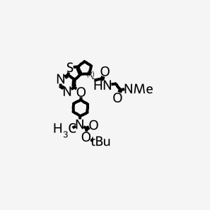 CNC(=O)CNC(=O)C[C@H]1CCc2sc3ncnc(OC4CCC(N(C)C(=O)OC(C)(C)C)CC4)c3c21